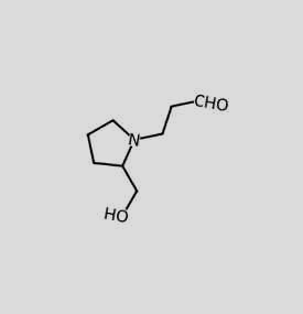 O=CCCN1CCCC1CO